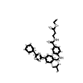 CCOC(=O)CCNC(=O)c1ccc(N[C@H](CC(C)C)c2ccc(-c3noc(-c4ccccc4)n3)cc2)cc1